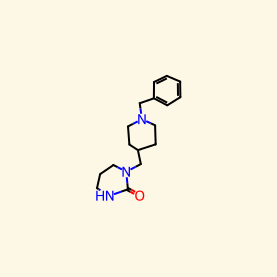 O=C1NCCCN1CC1CCN(Cc2ccccc2)CC1